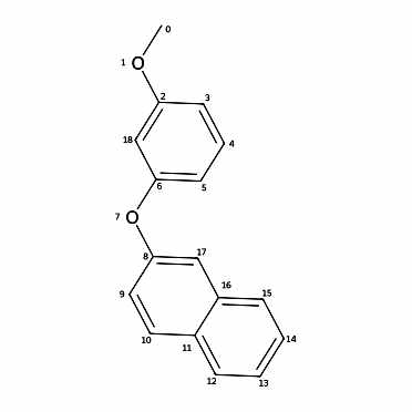 COc1cccc(Oc2ccc3ccccc3c2)c1